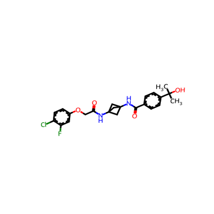 CC(C)(O)c1ccc(C(=O)NC23CC(NC(=O)COc4ccc(Cl)c(F)c4)(C2)C3)cc1